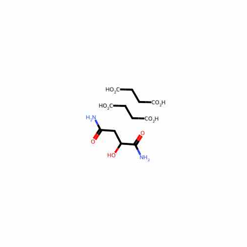 NC(=O)CC(O)C(N)=O.O=C(O)CCC(=O)O.O=C(O)CCC(=O)O